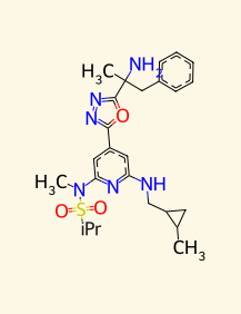 CC1CC1CNc1cc(-c2nnc(C(C)(N)Cc3ccccc3)o2)cc(N(C)S(=O)(=O)C(C)C)n1